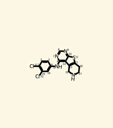 Clc1ccc(Nc2ncnc3sc4c(c23)CNCC4)cc1Cl